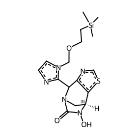 C[Si](C)(C)CCOCn1ccnc1C1c2ncsc2[C@@H]2CN1C(=O)N2O